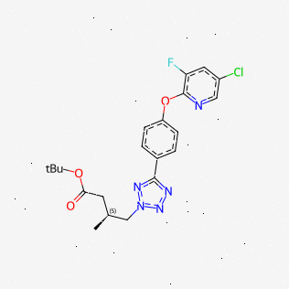 C[C@@H](CC(=O)OC(C)(C)C)Cn1nnc(-c2ccc(Oc3ncc(Cl)cc3F)cc2)n1